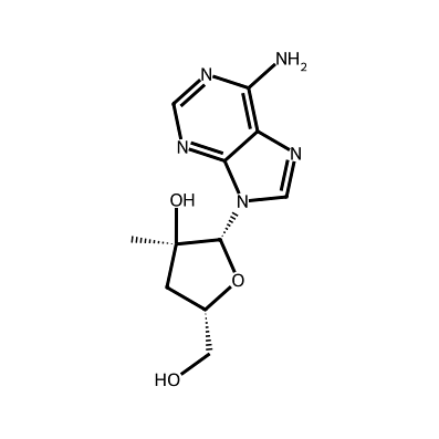 C[C@@]1(O)C[C@@H](CO)O[C@H]1n1cnc2c(N)ncnc21